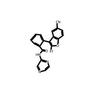 CCc1oc2ccc(C#N)cc2c1-c1ccccc1C(=O)Nc1cnccn1